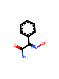 NC(=O)/C(=N/O)c1ccccc1